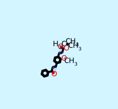 COc1cc(/C=C/C(=O)c2ccccc2)ccc1/C=C/C(=O)OC(C)(C)C